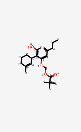 C=C(/C=C(OCOC(=O)C(C)(C)C)\C(=C(/C)O)C1C=C(C)CCC1)CCC